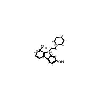 Oc1ccc2c3ccnc(C(F)(F)F)c3n(CCN3CCCCC3)c2c1